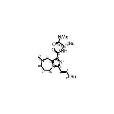 CCCCC=Cc1nc(C(=O)N[C@H](C(=O)NC)C(C)(C)C)c2n1CCCN(C)C2